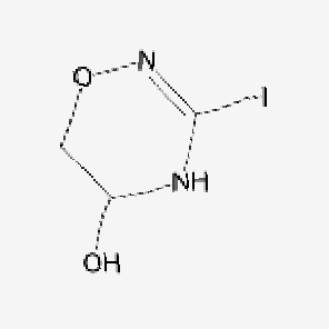 OC1CON=C(I)N1